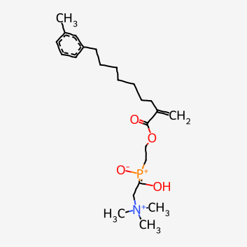 C=C(CCCCCCCc1cccc(C)c1)C(=O)OCC[P+]([O-])=C(O)C[N+](C)(C)C